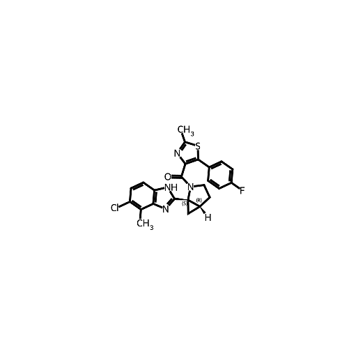 Cc1nc(C(=O)N2CC[C@@H]3C[C@@]32c2nc3c(C)c(Cl)ccc3[nH]2)c(-c2ccc(F)cc2)s1